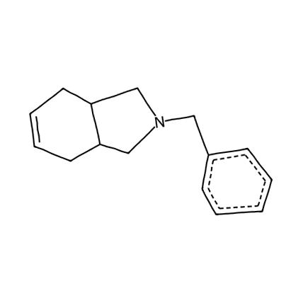 C1=CCC2CN(Cc3ccccc3)CC2C1